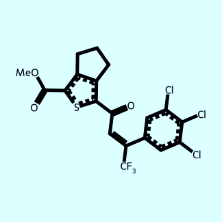 COC(=O)c1sc(C(=O)/C=C(\c2cc(Cl)c(Cl)c(Cl)c2)C(F)(F)F)c2c1CCC2